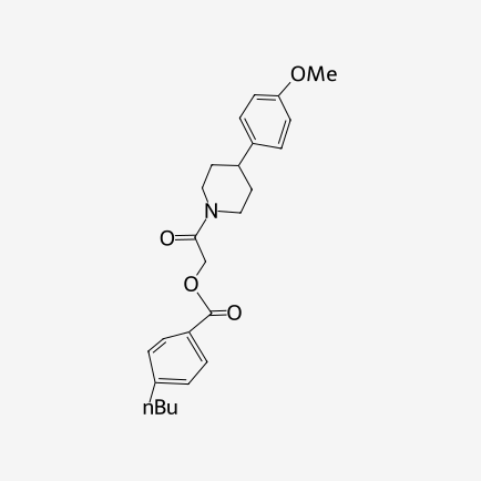 CCCCc1ccc(C(=O)OCC(=O)N2CCC(c3ccc(OC)cc3)CC2)cc1